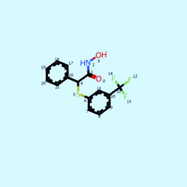 O=C(NO)C(Sc1cccc(C(F)(F)F)c1)c1ccccc1